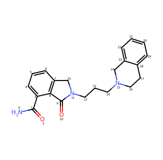 NC(=O)c1cccc2c1C(=O)N(CCCN1CCc3ccccc3C1)C2